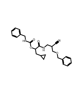 N#CC(CNC(=O)C(CC1CC1)OC(=O)NCc1ccccc1)COCc1ccccc1